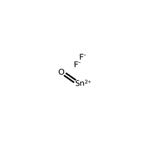 [F-].[F-].[O]=[Sn+2]